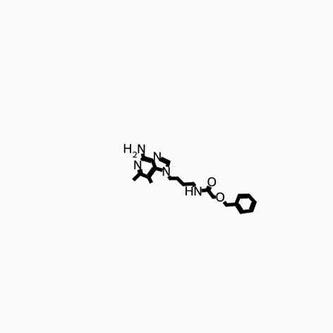 Cc1nc(N)c2ncn(CCCCNC(=O)COCc3ccccc3)c2c1C